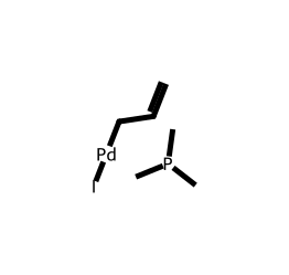 C=C[CH2][Pd][I].CP(C)C